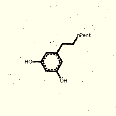 CCCCCCCc1cc(O)cc(O)c1